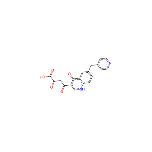 O=C(O)C(=O)CC(=O)c1c[nH]c2ccc(Cc3ccncc3)cc2c1=O